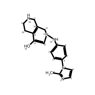 Cc1nccn1-c1ccc(NN2C=C(O)C3=C(CNCC3)C2)cc1